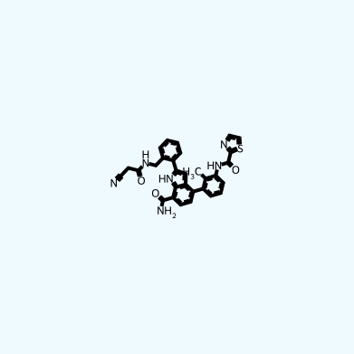 Cc1c(NC(=O)c2nccs2)cccc1-c1ccc(C(N)=O)c2[nH]c(-c3ccccc3CNC(=O)CC#N)cc12